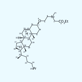 CCOC(=O)CN(C)CCO[C@H]1CC[C@@]2(C)C(=CC[C@H]3[C@@H]4CC[C@H]([C@H](C)CCCC(C)C)[C@@]4(C)CC[C@@H]32)C1